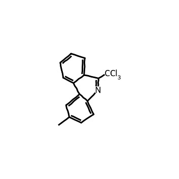 Cc1ccc2nc(C(Cl)(Cl)Cl)c3ccccc3c2c1